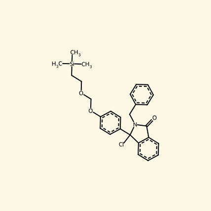 C[Si](C)(C)CCOCOc1ccc(C2(Cl)c3ccccc3C(=O)N2Cc2ccccc2)cc1